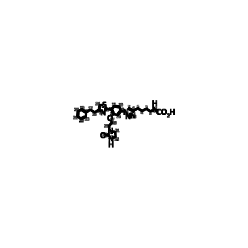 O=C(O)NCCCCc1cn(-c2ccc(-c3nc(CCc4ccccc4)cs3)c(OCCN3CCNC3=O)c2)nn1